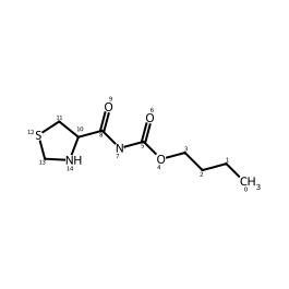 CCCCOC(=O)[N]C(=O)C1CSCN1